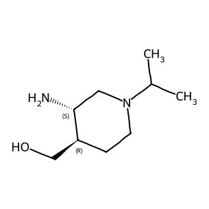 CC(C)N1CC[C@@H](CO)[C@H](N)C1